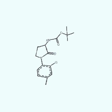 Cc1ccc(N2CCC(NC(=O)OC(C)(C)C)C2=O)c(Cl)c1